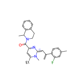 C=C(/C=C1/N=C(C(=O)N2CCc3ccccc3C2C)C=C(CC)N1C)c1ccc(C)cc1F